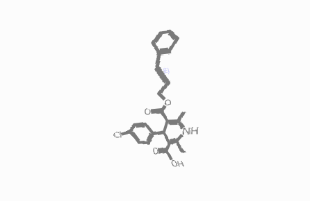 CC1=C(C(=O)O)C(c2ccc(Cl)cc2)C(C(=O)OC/C=C/c2ccccc2)=C(C)N1